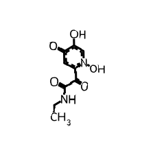 CCNC(=O)C(=O)c1cc(=O)c(O)cn1O